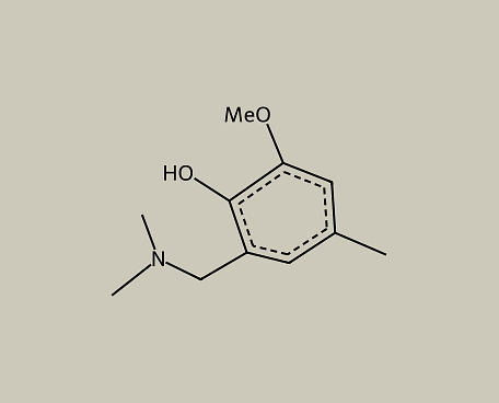 COc1cc(C)cc(CN(C)C)c1O